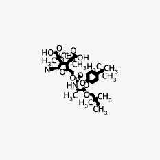 CCC(C)(C)COC(=O)[C@H](C)NP(=O)(OCC1OC(C#N)C(C(C)(C)C(=O)O)C1C(C)(C)C(=O)O)Oc1ccc(C(C)(C)C)cc1